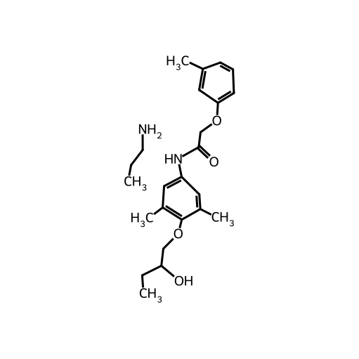 CCC(O)COc1c(C)cc(NC(=O)COc2cccc(C)c2)cc1C.CCCN